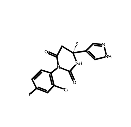 C[C@@]1(c2cn[nH]c2)CC(=O)N(c2ccc(I)cc2Cl)C(=O)N1